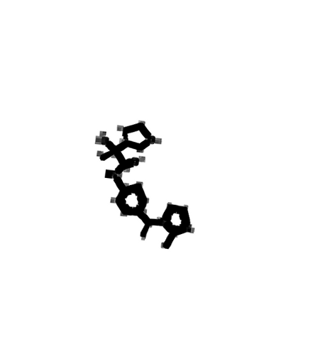 Cc1nccn1[C@@H](C)c1ccc(NC(=O)[C@](C)(O)[C@@H]2CCOC2)cc1